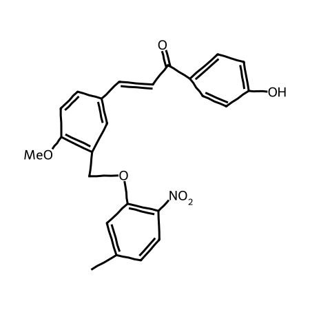 COc1ccc(C=CC(=O)c2ccc(O)cc2)cc1COc1cc(C)ccc1[N+](=O)[O-]